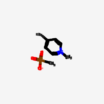 CCCCc1cc[n+](C)cc1.CS(=O)(=O)[O-]